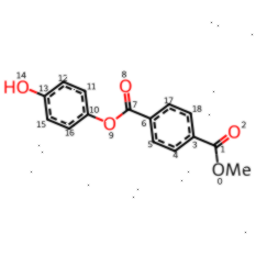 COC(=O)c1ccc(C(=O)Oc2ccc(O)cc2)cc1